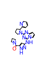 O=C(c1cc(Nc2nc(N3CCCC3c3ccccn3)nc3cccn23)n[nH]1)N1CCC1